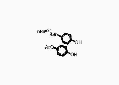 CC(=O)Oc1ccc(O)cc1.CC(=O)Oc1ccc(O)cc1.CCC[CH2][Sn][CH2]CCC